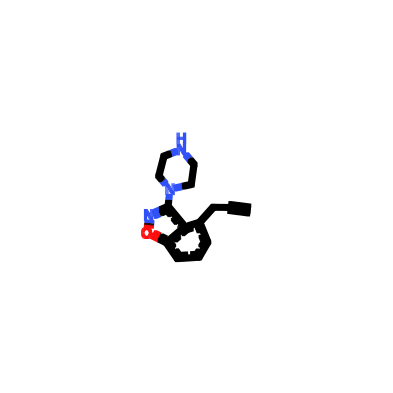 C#CCc1cccc2onc(N3CCNCC3)c12